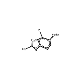 COc1ccc2nc(S)oc2c1F